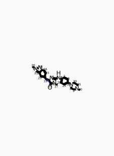 CN1CCN(c2ccc(NC3=N/C(=C\c4ccc5nn(C)cc5c4)C(=O)N3C)cc2)CC1